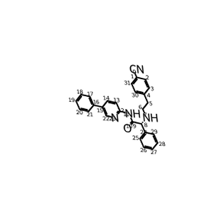 N#Cc1ccc(CCN[C@@H](C(=O)Nc2ccc(-c3ccccc3)cn2)c2ccccc2)cc1